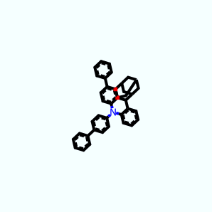 c1ccc(-c2ccc(N(c3ccc(-c4ccccc4)cc3)c3ccccc3C3C4CC5CC(C4)CC3C5)cc2)cc1